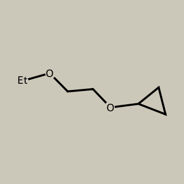 [CH2]COCCOC1CC1